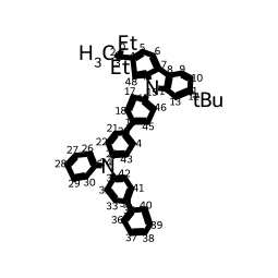 CCC(C)(CC)c1ccc2c3ccc(C(C)(C)C)cc3n(-c3ccc(-c4ccc(N(c5ccccc5)c5ccc(-c6ccccc6)cc5)cc4)cc3)c2c1